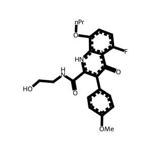 CCCOc1ccc(F)c2c(=O)c(-c3ccc(OC)cc3)c(C(=O)NCCO)[nH]c12